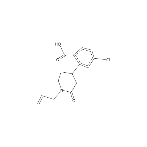 C=CCN1CCC(c2cc(Cl)ccc2C(=O)O)CC1=O